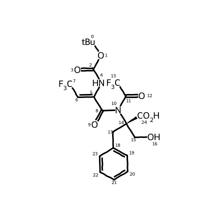 CC(C)(C)OC(=O)NC(=CC(F)(F)F)C(=O)N(C(=O)C(F)(F)F)[C@](CO)(Cc1ccccc1)C(=O)O